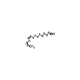 C/C=C\C/C=C\CCCCCCCCO